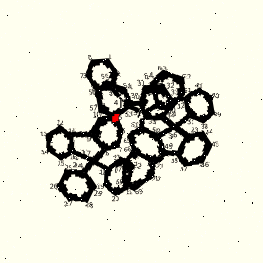 c1ccc(N(c2ccc3c(c2)-c2ccccc2C3(c2ccccc2)c2ccccc2)c2ccc3c(c2)C2(c4ccccc4-3)c3ccccc3-c3c2c(N(c2ccccc2)c2ccccc2)cc2ccccc32)cc1